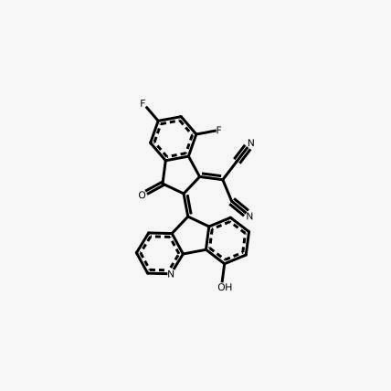 N#CC(C#N)=C1/C(=C2/c3cccnc3-c3c(O)cccc32)C(=O)c2cc(F)cc(F)c21